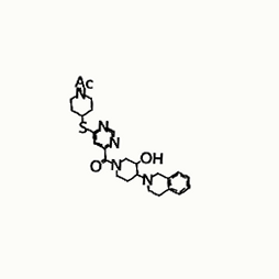 CC(=O)N1CCC(Sc2cc(C(=O)N3CCC(N4CCc5ccccc5C4)C(O)C3)ncn2)CC1